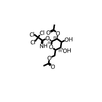 CC(=O)OCC1O[C@@H](OC(=N)C(Cl)(Cl)Cl)[C@@H](OC(C)=O)C(O)[C@@H]1O